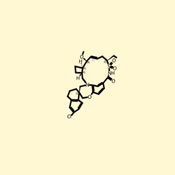 CC[C@@H]1C/C=C/[C@H](OC)[C@@H]2CC[C@H]2CN2C[C@@]3(CCCc4cc(Cl)ccc43)COc3ccc(cc32)C(=O)NS1(=O)=O